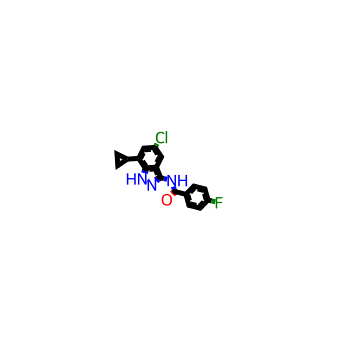 O=C(Nc1n[nH]c2c(C3CC3)cc(Cl)cc12)c1ccc(F)cc1